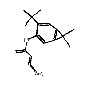 C=C(/C=C/N)Nc1cc2c(cc1C(C)(C)C)C2(C)C